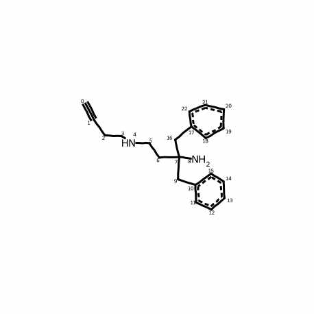 C#CCCNCCC(N)(Cc1ccccc1)Cc1ccccc1